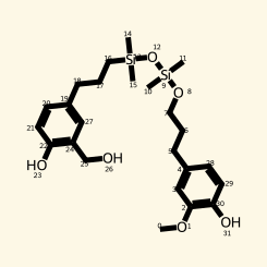 COc1cc(CCCO[Si](C)(C)O[Si](C)(C)CCCc2ccc(O)c(CO)c2)ccc1O